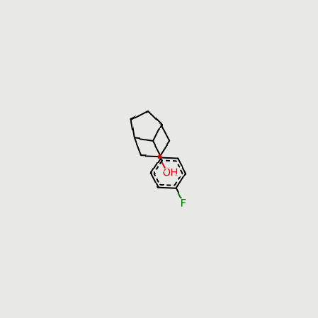 OC1CC2CCC(C1)C2c1ccc(F)cc1